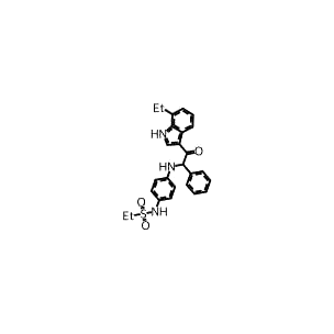 CCc1cccc2c(C(=O)C(Nc3ccc(NS(=O)(=O)CC)cc3)c3ccccc3)c[nH]c12